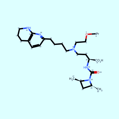 CC(C)OCCN(CCCCc1ccc2c(n1)NCCC2)CC[C@H](NC(=O)N1[C@H](C)C[C@H]1C)C(=O)O